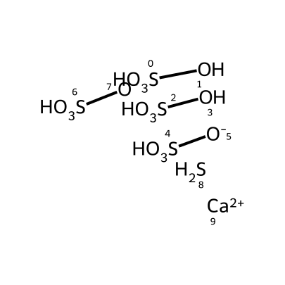 O=S(=O)(O)O.O=S(=O)(O)O.O=S(=O)([O-])O.O=S(=O)([O-])O.S.[Ca+2]